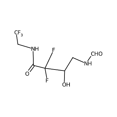 O=CNCC(O)C(F)(F)C(=O)NCC(F)(F)F